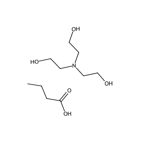 CCCC(=O)O.OCCN(CCO)CCO